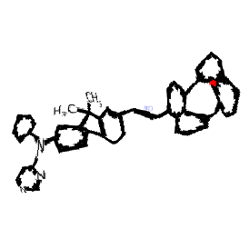 CC1(C)C2=C(CCC(/C=C/c3ccc(-c4ccccc4)c4c(-c5ccccc5)cccc34)=C2)c2ccc(N(c3ccccc3)c3ccncn3)cc21